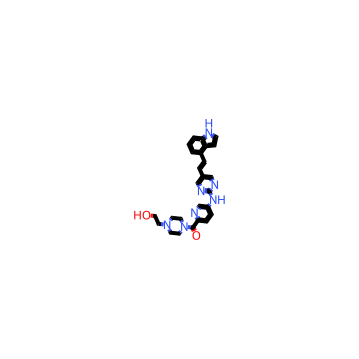 O=C(c1ccc(Nc2ncc(/C=C/c3cccc4[nH]ccc34)cn2)cn1)N1CCN(CCO)CC1